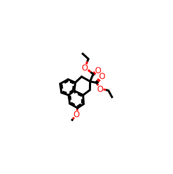 CCOC(=O)C1(C(=O)OCC)Cc2cccc3cc(OC)cc(c23)C1